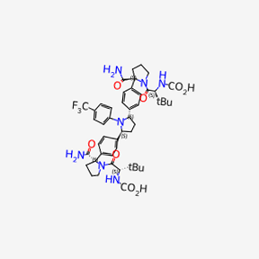 CC(C)(C)[C@H](NC(=O)O)C(=O)N1CCC[C@@]1(C(N)=O)c1ccc([C@@H]2CC[C@@H](c3ccc([C@]4(C(N)=O)CCCN4C(=O)[C@@H](NC(=O)O)C(C)(C)C)cc3)N2c2ccc(C(F)(F)F)cc2)cc1